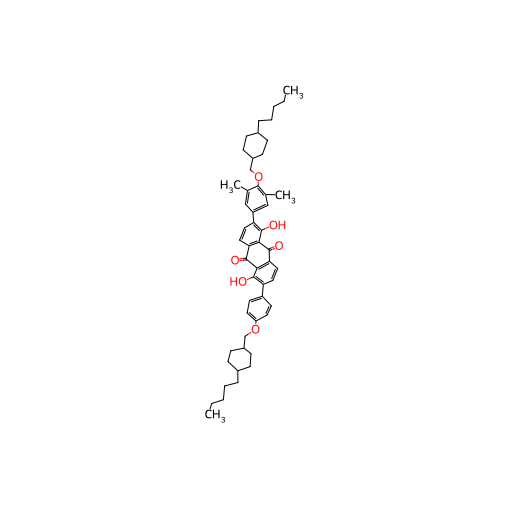 CCCCCC1CCC(COc2ccc(-c3ccc4c(c3O)C(=O)c3ccc(-c5cc(C)c(OCC6CCC(CCCCC)CC6)c(C)c5)c(O)c3C4=O)cc2)CC1